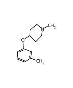 Cc1cccc(OC2CCN(C)CC2)c1